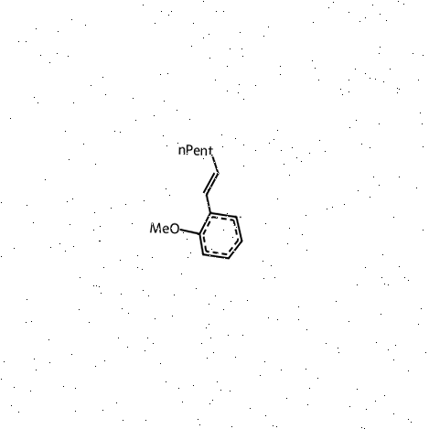 CCCCCC=Cc1[c]cccc1OC